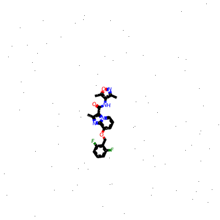 Cc1noc(C)c1NC(=O)c1c(C)nc2c(OCc3c(F)cccc3F)cccn12